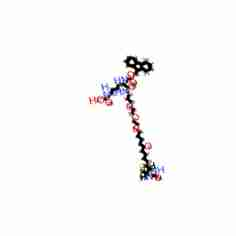 O=C(CCCCOCCOCCOCCCNC(=O)[C@H](CCCCNC(=O)O)NC(=O)OCC1c2ccccc2-c2ccccc21)CCCC[C@@H]1SC[C@@H]2NC(=O)N[C@@H]21